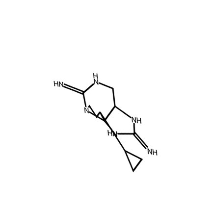 N=C1NC2CNC(=N)N3CCC(C4CC4)C23N1